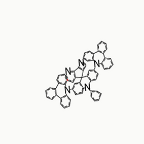 c1ccc(N2c3ccc(N4c5ccccc5-c5ccccc5-c5ccccc54)cc3C3(c4cc(N5c6ccccc6-c6ccccc6-c6ccccc65)ccc42)c2cccnc2-c2ncccc23)cc1